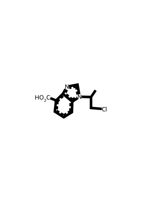 CC(CCl)n1cnc2c(C(=O)O)cccc21